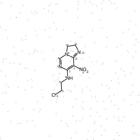 O=[N+]([O-])C1=C(NCCCl)N=CN2CCN=C12